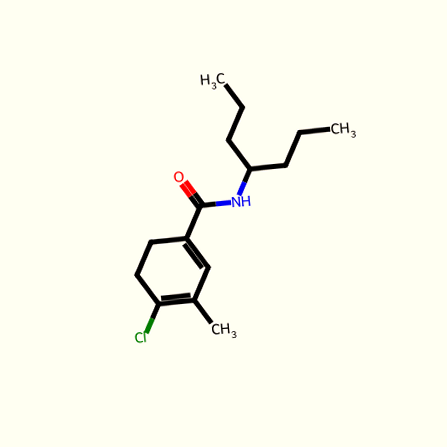 CCCC(CCC)NC(=O)C1=CC(C)=C(Cl)CC1